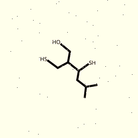 CC(C)CC(S)C(CO)CS